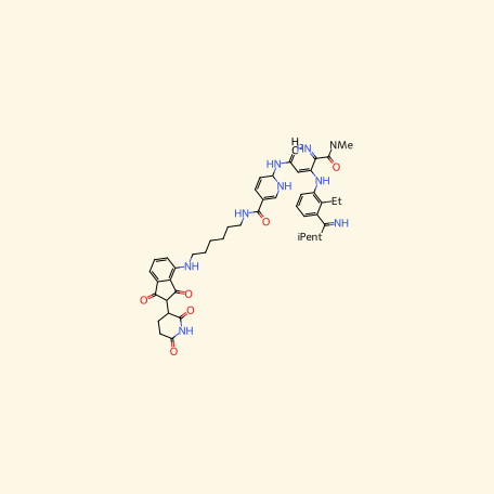 C=C(/C=C(/Nc1cccc(C(=N)C(C)CCC)c1CC)C(=N)C(=O)NC)NC1C=CC(C(=O)NCCCCCCNc2cccc3c2C(=O)C(C2CCC(=O)NC2=O)C3=O)=CN1